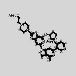 COCCN1CCN(c2nc3c(O[C@H]4CCOC4)nc(-n4ncc5c(C)nc(-c6cnccc6OC)cc54)cc3s2)CC1